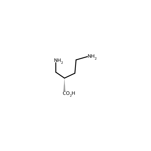 NCC[C@@H](CN)C(=O)O